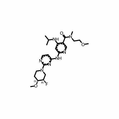 COCCN(C)C(=O)c1cnc(Nc2ccnc(N3CC[C@H](OC)[C@H](F)C3)n2)cc1NC(C)C